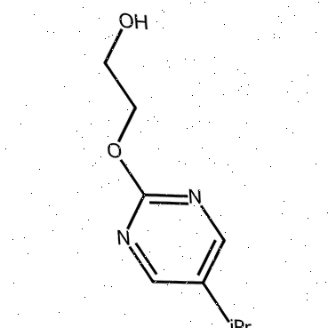 CC(C)c1cnc(OCCO)nc1